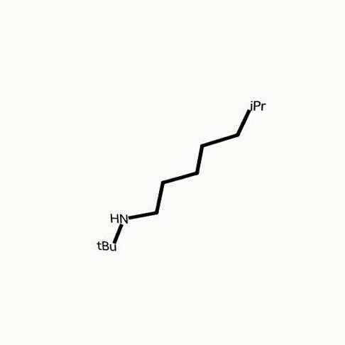 CC(C)CCCCCNC(C)(C)C